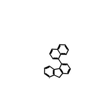 [c]1cccc2c1Cc1cccc(-c3cccc4ccccc34)c1-2